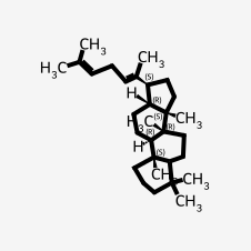 CC(C)=CCC=C(C)[C@H]1CC[C@@]2(C)[C@@H]1CC[C@@H]1[C@@]3(C)CCCC(C)(C)C3CC[C@]12C